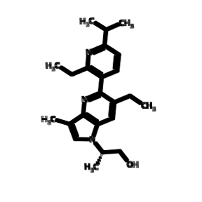 CCc1cc2c(nc1-c1ccc(C(C)C)nc1CC)c(C)cn2[C@@H](C)CO